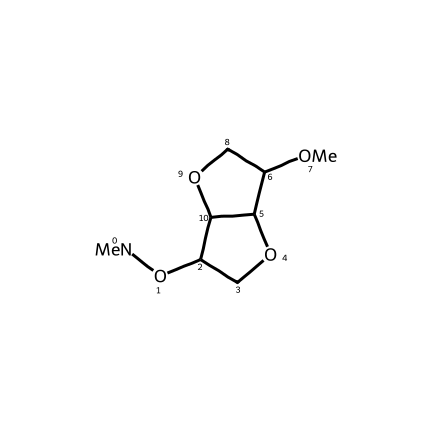 CNOC1COC2C(OC)COC12